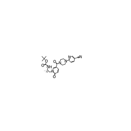 C[C@@H](Cn1cc(C(=O)N2CCN(c3ccc(C#N)cn3)CC2)ccc1=O)NC(=O)OC(C)(C)C